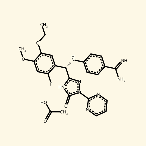 CC(=O)O.CCOc1cc([C@H](Nc2ccc(C(=N)N)cc2)c2nn(-c3ncccn3)c(=O)[nH]2)c(F)cc1OC